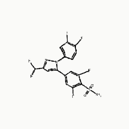 NS(=O)(=O)c1c(F)cc(-c2cc(C(F)F)nn2-c2ccc(F)c(F)c2)cc1F